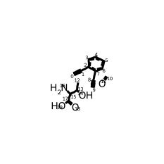 C#Cc1ccccc1C#C.C=O.CC(O)C(N)C(=O)O